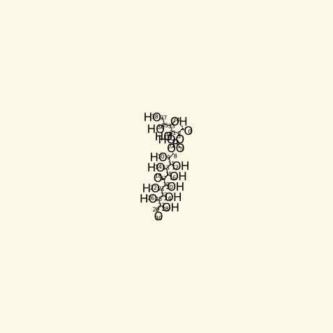 O=C[C@H](OP(=O)(O)OC[C@@H](O)[C@@H](O)[C@H](O)[C@@H](O)C(=O)C(O)[C@@H](O)[C@@H](O)[C@H](O)[C@@H](O)C=O)[C@@H](O)[C@H](O)[C@H](O)CO